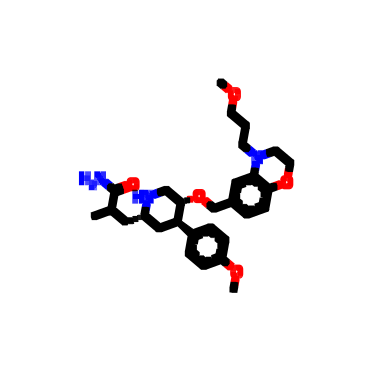 COCCCN1CCOc2ccc(CO[C@H]3CN[C@@H](C[C](C)C(N)=O)C[C@@H]3c3ccc(OC)cc3)cc21